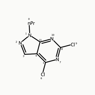 CCCn1ncc2c(Cl)nc(Cl)nc21